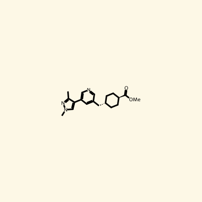 COC(=O)[C@H]1CC[C@H](Cc2cncc(-c3cn(C)nc3C)c2)CC1